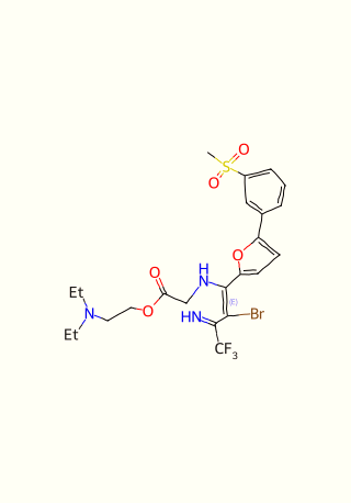 CCN(CC)CCOC(=O)CN/C(=C(/Br)C(=N)C(F)(F)F)c1ccc(-c2cccc(S(C)(=O)=O)c2)o1